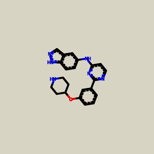 c1cc(OC2CCNCC2)cc(-c2nccc(Nc3ccc4[nH]ncc4c3)n2)c1